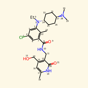 CCN(c1cc(Cl)cc(C(=O)NCc2c(CO)cc(C)[nH]c2=O)c1C)[C@H]1CC[C@H](N(C)C)CC1